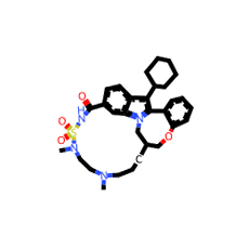 CN1CCCC2COc3ccccc3-c3c(C4CCCCC4)c4ccc(cc4n3C2)C(=O)NS(=O)(=O)N(C)CC1